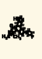 Cc1c2c(nn1C)C(=O)N1c3cc4[nH]cnc4cc3-c3cc(N4CCC(F)C4)ccc3C21